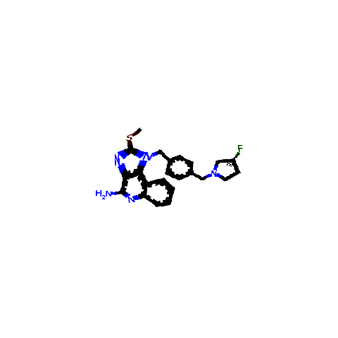 CSc1nc2c(N)nc3ccccc3c2n1Cc1ccc(CN2CC[C@H](F)C2)cc1